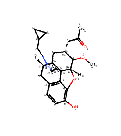 COC1[C@@H](CC(C)=O)C[C@]2(C)[C@H]3Cc4ccc(O)c5c4[C@@]2(CCN3CC2CC2)[C@H]1O5